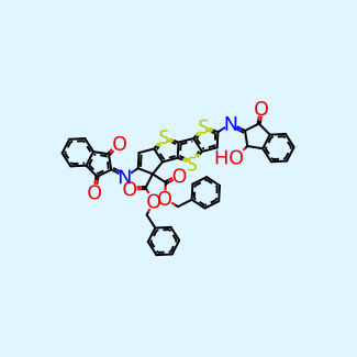 O=C1/C(=N/c2cc3sc4c5c(sc4c3s2)C=C(N=c2c(=O)c3ccccc3c2=O)C5(C(=O)OCc2ccccc2)C(=O)OCc2ccccc2)C(O)c2ccccc21